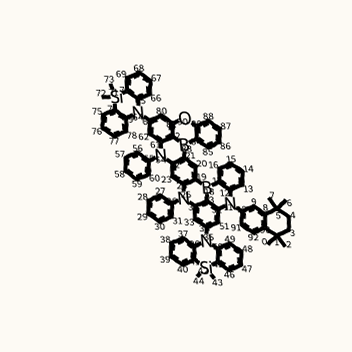 CC1(C)CCC(C)(C)c2cc(N3c4ccccc4B4c5cc6c(cc5N(c5ccccc5)c5cc(N7c8ccccc8[Si](C)(C)c8ccccc87)cc3c54)N(c3ccccc3)c3cc(N4c5ccccc5[Si](C)(C)c5ccccc54)cc4c3B6c3ccccc3O4)ccc21